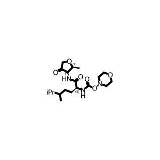 CC(C)C(C)CC[C@H](NC(=O)ON1CCOCC1)C(=O)N[C@@H]1C(=O)CO[C@H]1C